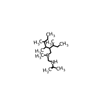 C=C(C)NCB(C)CC(C(C)CC)C(C)C(C)CC